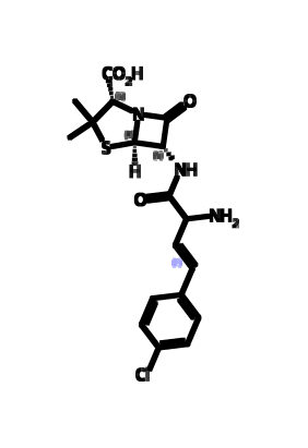 CC1(C)S[C@@H]2[C@@H](NC(=O)C(N)/C=C/c3ccc(Cl)cc3)C(=O)N2[C@H]1C(=O)O